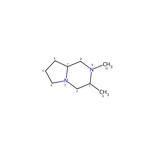 CC1CN2CCCC2CN1C